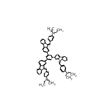 CCN(CC)c1ccc(/C=C2\c3ccccc3-c3ccc(-c4cc(-c5ccc6c(c5)/C(=C/c5ccc(N(CC)CC)cc5)c5ccccc5-6)cc(-c5ccc6c(c5)/C(=C/c5ccc(N(CC)CC)cc5)c5ccccc5-6)c4)cc32)cc1